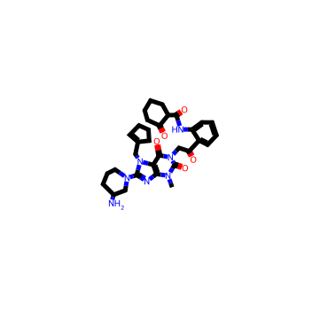 Cn1c(=O)n(CC(=O)c2ccccc2NC(=O)C2CCCCC2=O)c(=O)c2c1nc(N1CCCC(N)C1)n2CC1=CCCC1